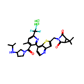 Cc1cc(C(F)(F)F)nc(-c2ccnc3cc(CN4C(=O)C5C(C4=O)C5(C)C)sc23)c1C(=O)N1CCC(NC(C)C)C1.Cl.Cl